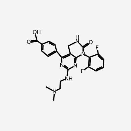 CN(C)CCNc1nc(-c2ccc(C(=O)O)cc2)c2c(n1)N(c1c(F)cccc1F)C(=O)NC2